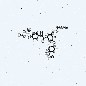 C=C(/C=C\N(N)CP(=O)(OCC)OCC)NC(=O)c1cc(OCCOC)cc(Oc2ccc(S(C)(=O)=O)cc2)c1